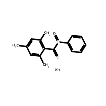 Cc1cc(C)c(C(=O)[P](=O)c2ccccc2)c(C)c1.[KH]